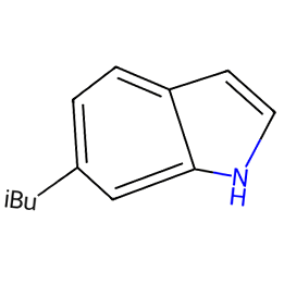 CCC(C)c1ccc2cc[nH]c2c1